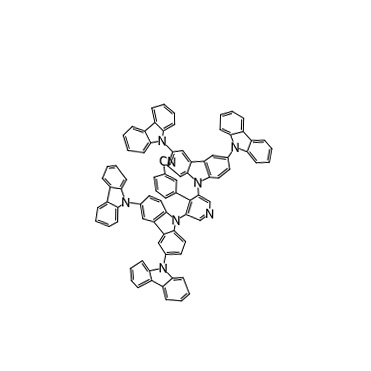 N#Cc1cccc(-c2c(-n3c4ccc(-n5c6ccccc6c6ccccc65)cc4c4cc(-n5c6ccccc6c6ccccc65)ccc43)cncc2-n2c3ccc(-n4c5ccccc5c5ccccc54)cc3c3cc(-n4c5ccccc5c5ccccc54)ccc32)c1